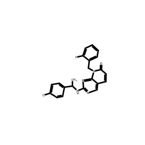 CC(Nc1ncc2ccc(=O)n(Cc3ccccc3F)c2n1)c1ccc(Cl)cc1